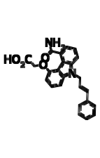 NC(=O)c1cccc2c1c1c(OCC(=O)O)cccc1n2CC=Cc1ccccc1